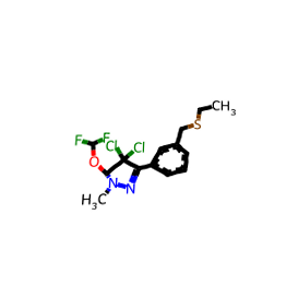 CCSCc1cccc(C2=NN(C)C(OC(F)F)C2(Cl)Cl)c1